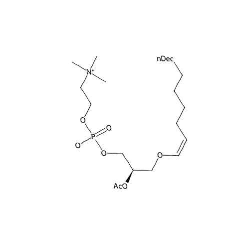 CCCCCCCCCCCCCC/C=C\OC[C@H](COP(=O)([O-])OCC[N+](C)(C)C)OC(C)=O